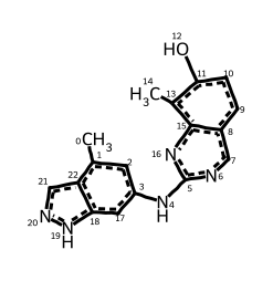 Cc1cc(Nc2ncc3ccc(O)c(C)c3n2)cc2[nH]ncc12